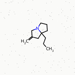 C=C1CN2CCCC2(CCC)C1